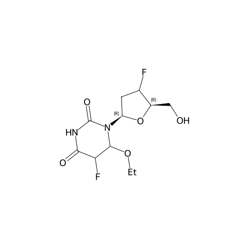 CCOC1C(F)C(=O)NC(=O)N1[C@H]1CC(F)[C@@H](CO)O1